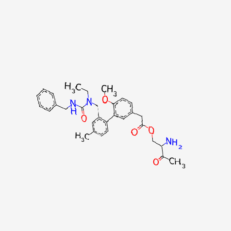 CCN(Cc1cc(C)ccc1-c1cc(CC(=O)OCC(N)C(C)=O)ccc1OC)C(=O)NCc1ccccc1